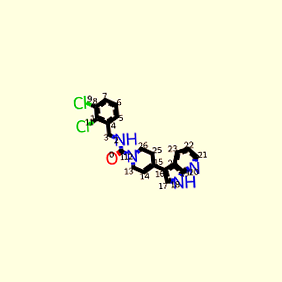 O=C(NCc1cccc(Cl)c1Cl)N1CC=C(c2c[nH]c3ncccc23)CC1